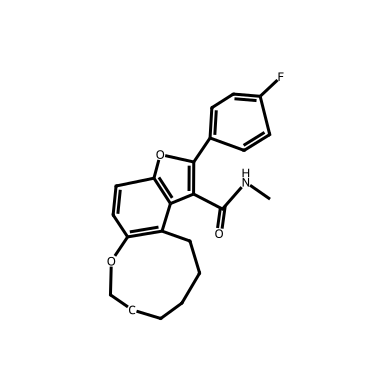 CNC(=O)c1c(-c2ccc(F)cc2)oc2ccc3c(c12)CCCCCCO3